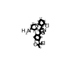 CC(=O)N(Cl)c1cccc(-c2cc(-c3c(Cl)cccc3N3CCC(N)CC3)no2)c1